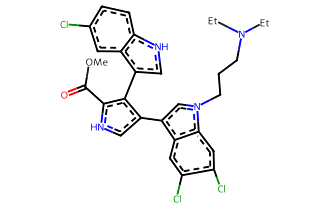 CCN(CC)CCCn1cc(-c2c[nH]c(C(=O)OC)c2-c2c[nH]c3ccc(Cl)cc23)c2cc(Cl)c(Cl)cc21